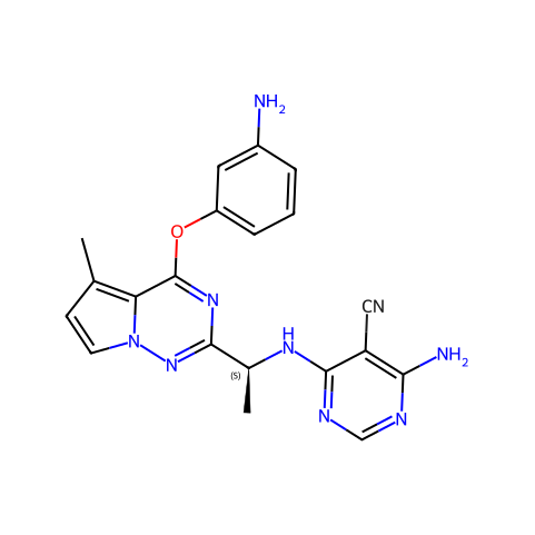 Cc1ccn2nc([C@H](C)Nc3ncnc(N)c3C#N)nc(Oc3cccc(N)c3)c12